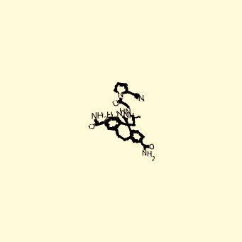 C[C@@H](CC1(C(=N)N)c2ccc(C(N)=O)cc2CCc2cc(C(N)=O)ccc21)NCC(=O)N1CCCC1C#N